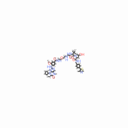 CC[C@@H]1C(=O)N(C)c2cnc(Nc3ccc(C(=O)NCCOCCNCC(=O)N[C@H](C(=O)N4C[C@H](O)C[C@H]4C(=O)NCc4ccc(-c5scnc5C)cc4)C(C)(C)C)cc3OC)nc2N1C1CCCC1